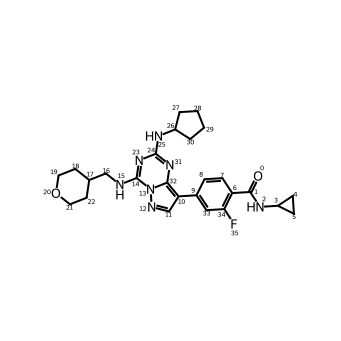 O=C(NC1CC1)c1ccc(-c2cnn3c(NCC4CCOCC4)nc(NC4CCCC4)nc23)cc1F